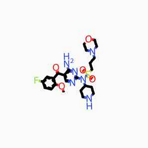 COc1ccc(F)cc1C(=O)c1cnc(N(C2CCNCC2)S(=O)(=O)CCCN2CCOCC2)nc1N